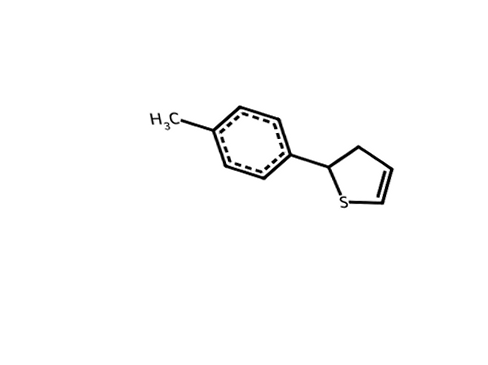 Cc1ccc(C2CC=CS2)cc1